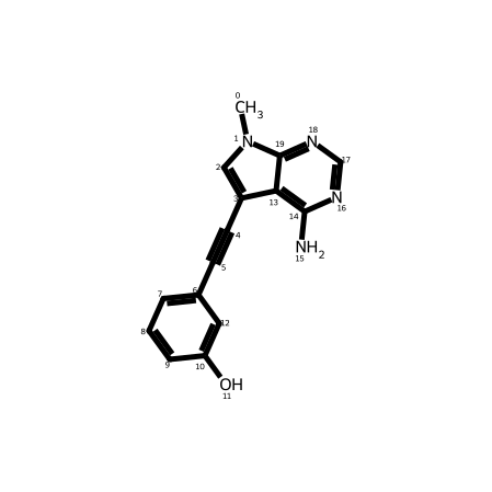 Cn1cc(C#Cc2cccc(O)c2)c2c(N)ncnc21